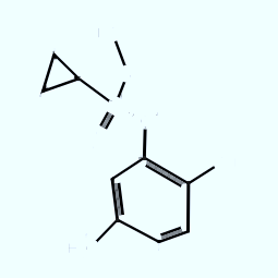 CS[P@](=S)(Oc1cc(C)ccc1C)C1CC1